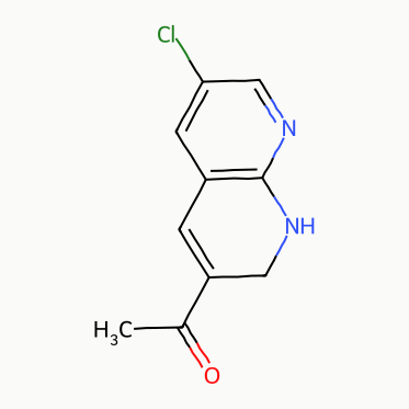 CC(=O)C1=Cc2cc(Cl)cnc2NC1